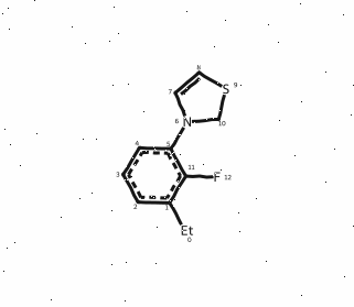 CCc1cccc(N2C=CSC2)c1F